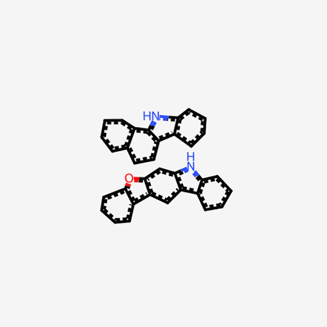 c1ccc2c(c1)[nH]c1cc3oc4ccccc4c3cc12.c1ccc2c(c1)ccc1c3ccccc3[nH]c21